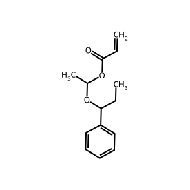 C=CC(=O)OC(C)OC(CC)c1ccccc1